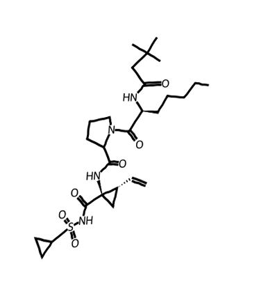 C=C[C@@H]1C[C@]1(NC(=O)C1CCCN1C(=O)[C@H](CCCCC)NC(=O)CC(C)(C)C)C(=O)NS(=O)(=O)C1CC1